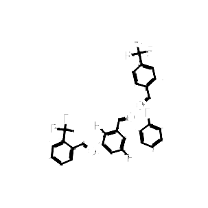 Fc1ccccc1.O=Cc1cc(F)ccc1F.O=Cc1ccc(C(F)(F)F)cc1.O=Cc1ccccc1C(F)(F)F